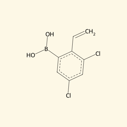 C=Cc1c(Cl)cc(Cl)cc1B(O)O